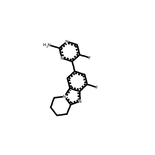 Nc1ncc(F)c(-c2cc(F)c3nc4n(c3c2)CCCC4)n1